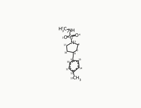 CNS(=O)(=O)N1CCC(c2ccc(C)cc2)CC1